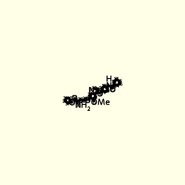 COc1cc2c(Oc3ccc(NC(=O)c4ccccc4)cc3)ccnc2cc1OCCC[C@@H](N)C(=O)OC1CCCC1